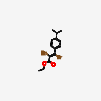 CCOC(=O)C(Br)=C(Br)c1ccc(C(C)C)cc1